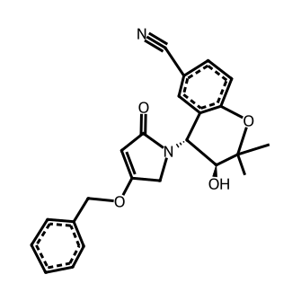 CC1(C)Oc2ccc(C#N)cc2[C@@H](N2CC(OCc3ccccc3)=CC2=O)[C@@H]1O